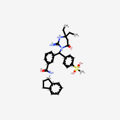 CCC1(CC)CC(=O)N(C(c2ccc(S(C)(=O)=O)cc2)c2cccc(C(=O)N[C@H]3CCc4ccccc43)c2)C(=N)N1